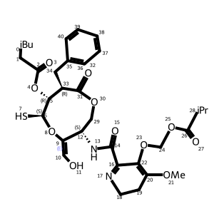 CCC(C)CC(=O)O[C@H]1[C@H](S)O/C(=C/O)[C@@H](NC(=O)C2=NCCC(OC)=C2OCOC(=O)C(C)C)COC(=O)[C@@H]1Cc1ccccc1